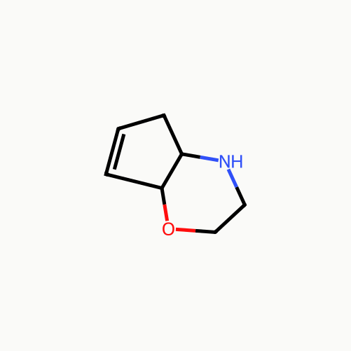 C1=CC2OCCNC2C1